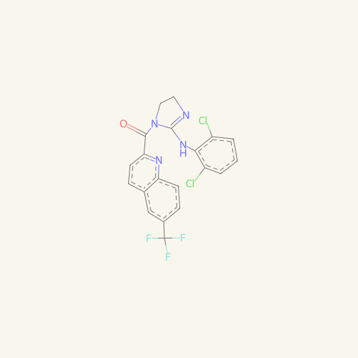 O=C(c1ccc2cc(C(F)(F)F)ccc2n1)N1CCN=C1Nc1c(Cl)cccc1Cl